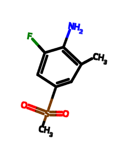 Cc1cc(S(C)(=O)=O)cc(F)c1N